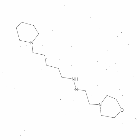 C(CCN[N]CCN1CCOCC1)CCN1CCCCC1